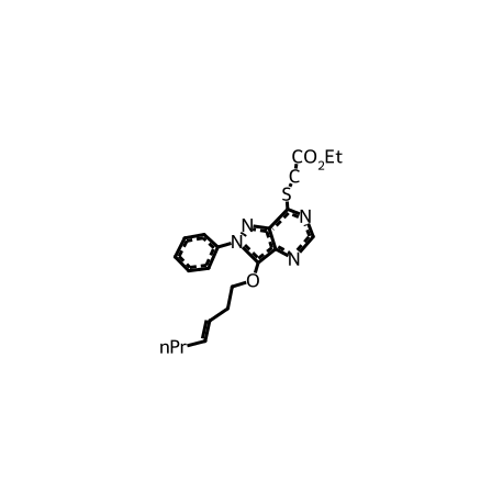 CCCC=CCCOc1c2ncnc(SCC(=O)OCC)c2nn1-c1ccccc1